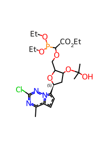 CCOC(=O)C(OCC1O[C@H](c2ccc3c(C)nc(Cl)nn23)CC1OC(C)(C)O)P(OCC)OCC